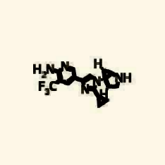 Nc1ncc(-c2cn([C@]34C5NC[C@@H]3[C@H]54)c(C3CC3)n2)cc1C(F)(F)F